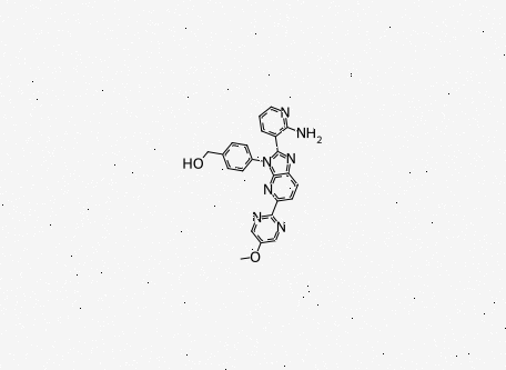 COc1cnc(-c2ccc3nc(-c4cccnc4N)n(-c4ccc(CO)cc4)c3n2)nc1